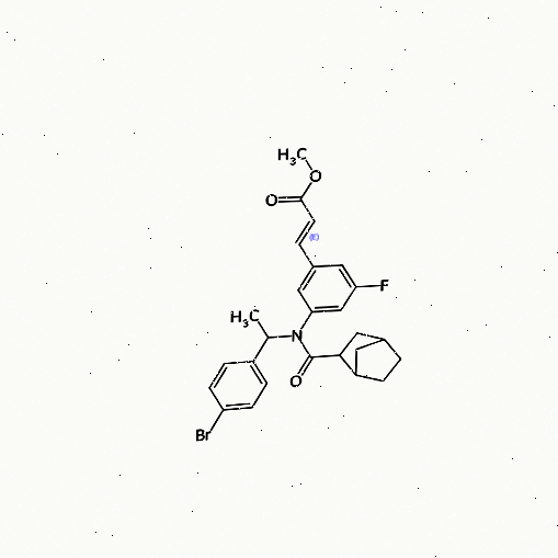 COC(=O)/C=C/c1cc(F)cc(N(C(=O)C2CC3CCC2C3)C(C)c2ccc(Br)cc2)c1